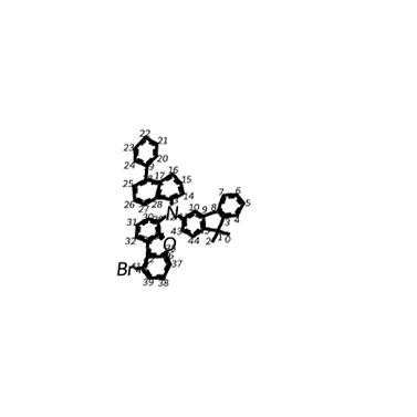 CC1(C)c2ccccc2-c2cc(N(c3cccc4c(-c5ccccc5)cccc34)c3cccc4c3oc3cccc(Br)c34)ccc21